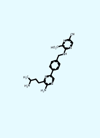 CC(N)CCc1nc(-c2ccc(CNc3ncc(C#N)nc3C(=O)O)cc2)cnc1N